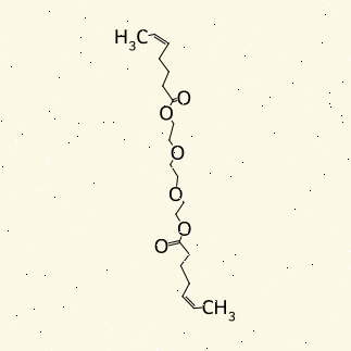 C/C=C\CCCC(=O)OCCOCCOCCOC(=O)CCC/C=C\C